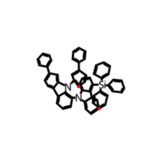 c1ccc(-c2cccc(-n3c4cc(-c5ccccc5)ccc4c4cccc(-n5c6ccccc6c6c([Si](c7ccccc7)(c7ccccc7)c7ccccc7)cccc65)c43)c2)cc1